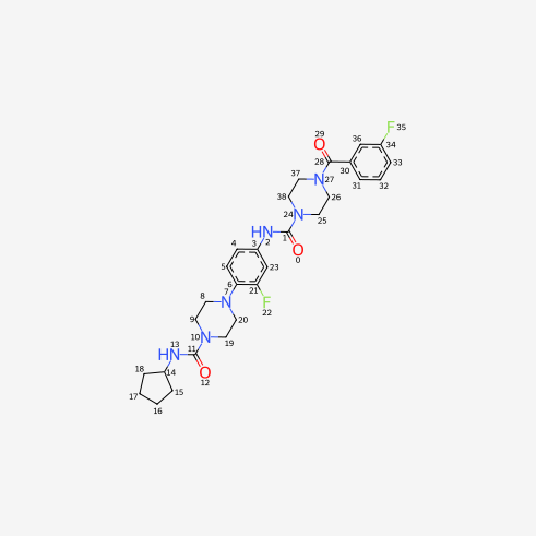 O=C(Nc1ccc(N2CCN(C(=O)NC3CCCC3)CC2)c(F)c1)N1CCN(C(=O)c2cccc(F)c2)CC1